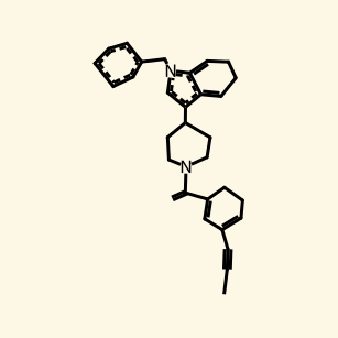 C=C(C1=CC(C#CC)=CCC1)N1CCC(c2cn(Cc3ccccc3)c3c2=CCCC=3)CC1